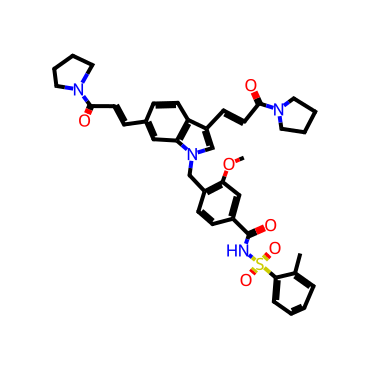 COc1cc(C(=O)NS(=O)(=O)c2ccccc2C)ccc1Cn1cc(/C=C/C(=O)N2CCCC2)c2ccc(/C=C/C(=O)N3CCCC3)cc21